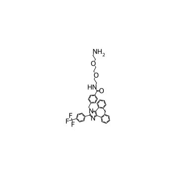 Cc1ccccc1-c1nc(-c2ccc(C(F)(F)F)cc2)n(Cc2ccc(C(=O)NCCOCCOCCN)cc2)c1-c1ccccc1C